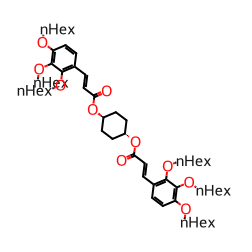 CCCCCCOc1ccc(/C=C/C(=O)O[C@H]2CC[C@H](OC(=O)/C=C/c3ccc(OCCCCCC)c(OCCCCCC)c3OCCCCCC)CC2)c(OCCCCCC)c1OCCCCCC